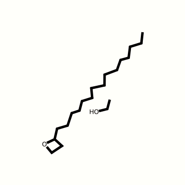 CCCCCCCCCCCCCCCC1CCO1.CCO